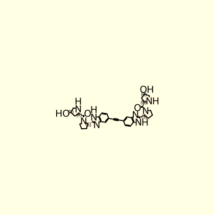 O=C([C@H]1C[C@@H](O)CN1)N1CCC[C@H]1c1nc2cc(C#Cc3ccc4[nH]c([C@@H]5CCCN5C(=O)[C@H]5C[C@@H](O)CN5)nc4c3)ccc2[nH]1